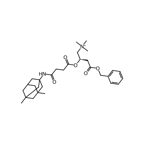 CC12CC3CC(C)(C1)CC(NC(=O)CCC(=O)O[C@H](CC(=O)OCc1ccccc1)C[N+](C)(C)C)(C3)C2